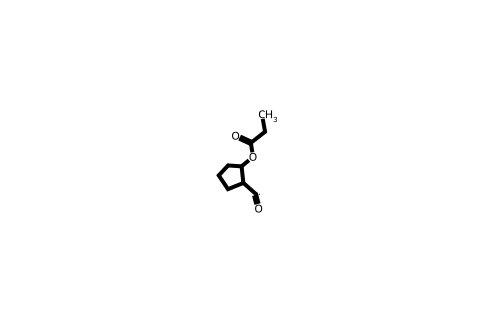 CCC(=O)OC1CCCC1[C]=O